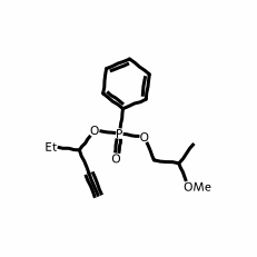 C#CC(CC)OP(=O)(OCC(C)OC)c1ccccc1